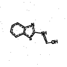 OC=[SH]c1nc2ccccc2s1